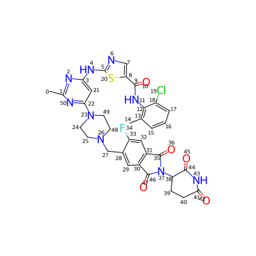 Cc1nc(Nc2ncc(C(=O)Nc3c(C)cccc3Cl)s2)cc(N2CCN(Cc3cc4c(cc3F)C(=O)N(C3CCC(=O)NC3=O)C4=O)CC2)n1